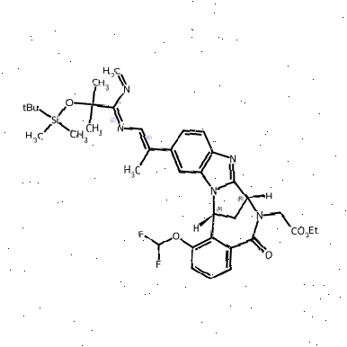 C=N/C(=N\C=C(/C)c1ccc2nc3n(c2c1)[C@@H]1C[C@H]3N(CC(=O)OCC)C(=O)c2cccc(OC(F)F)c21)C(C)(C)O[Si](C)(C)C(C)(C)C